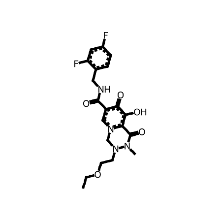 CCOCCN1Cn2cc(C(=O)NCc3ccc(F)cc3F)c(=O)c(O)c2C(=O)N1C